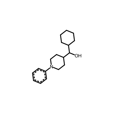 OC(C1CCCCC1)C1CCN(c2ccccc2)CC1